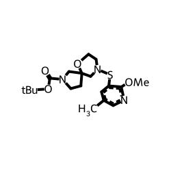 COc1ncc(C)cc1SN1CCOC2(CCN(C(=O)OC(C)(C)C)C2)C1